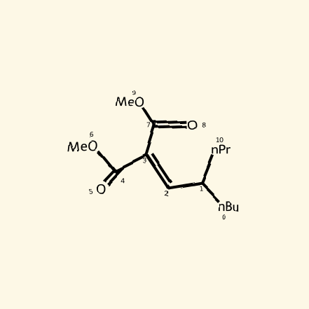 CCCCC(C=C(C(=O)OC)C(=O)OC)CCC